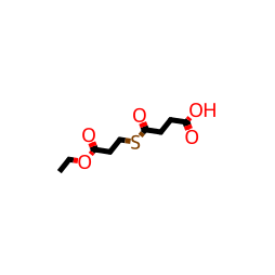 CCOC(=O)CCSC(=O)CCC(=O)O